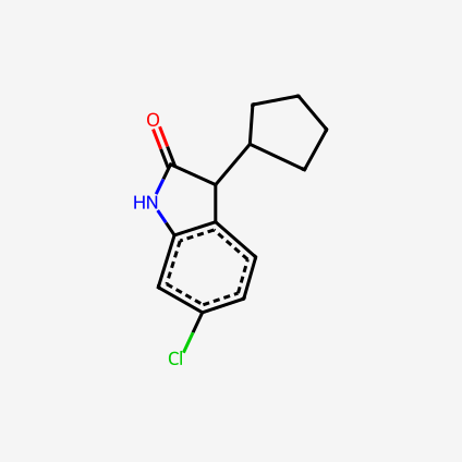 O=C1Nc2cc(Cl)ccc2C1C1CCCC1